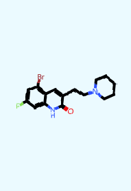 O=c1[nH]c2cc(F)cc(Br)c2cc1CCN1CC[CH]CC1